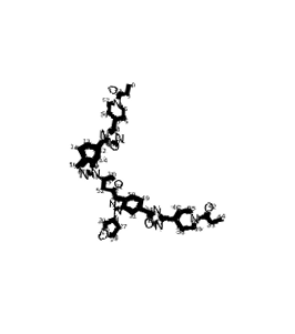 CCC(=O)N1CCC(c2noc(-c3ccc4cnn([C@H]5COC(c6nn([C@H]7CCOC7)c7cc(-c8nc(C9CCN(C(=O)CC)CC9)no8)ccc67)C5)c4c3)n2)CC1